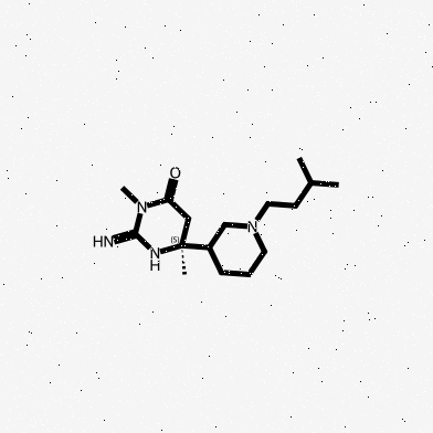 CC(C)CCN1CCCC([C@]2(C)CC(=O)N(C)C(=N)N2)C1